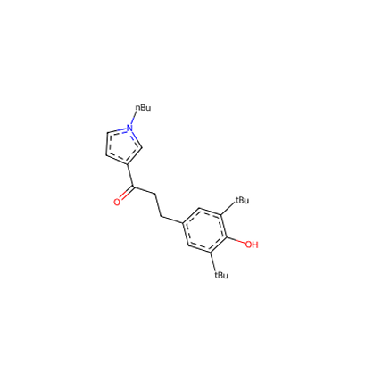 CCCCn1ccc(C(=O)CCc2cc(C(C)(C)C)c(O)c(C(C)(C)C)c2)c1